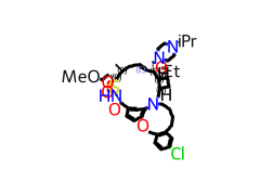 CCO[C@]1(CN2CCN(C(C)C)CC2)/C=C/C[C@H](C)[C@@H](CCOC)S(=O)(=O)NC(=O)c2ccc3c(c2)N(CCCCc2cc(Cl)ccc2CO3)C[C@@H]2CC[C@H]21